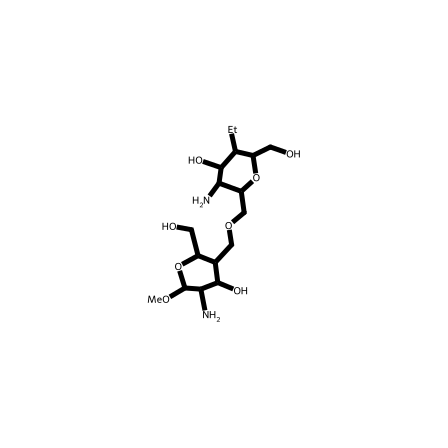 CCC1C(CO)OC(COCC2C(CO)OC(OC)C(N)C2O)C(N)C1O